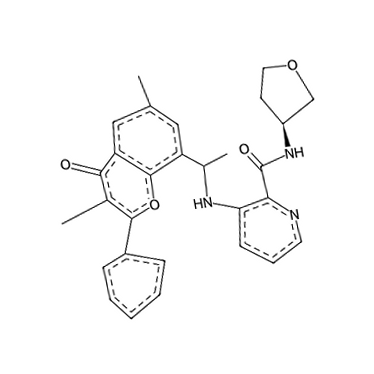 Cc1cc(C(C)Nc2cccnc2C(=O)N[C@H]2CCOC2)c2oc(-c3ccccc3)c(C)c(=O)c2c1